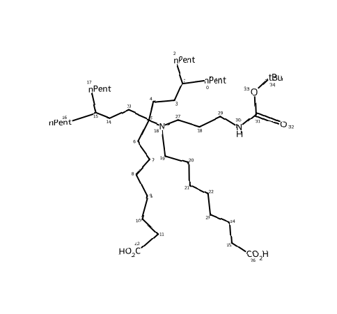 CCCCCC(CCCCC)CCC(CCCCCCC(=O)O)(CCC(CCCCC)CCCCC)N(CCCCCCCC(=O)O)CCCNC(=O)OC(C)(C)C